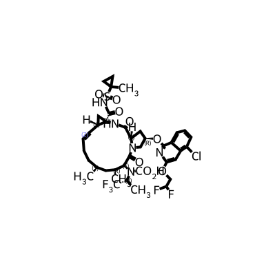 C[C@H]1CC/C=C\[C@@H]2C[C@@]2(C(=O)NS(=O)(=O)C2(C)CC2)NC(=O)[C@@H]2C[C@@H](Oc3nc(OCC(F)F)cc4c(Cl)cccc34)CN2C(=O)[C@@H](N(C(=O)O)[C@H](C)C(F)(F)F)[C@H](C)C1